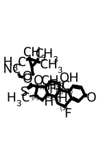 C[C@@H]1C[C@H]2[C@@H]3C[C@H](F)C4=CC(=O)C=C[C@]4(C)[C@@]3(F)[C@@H](O)C[C@]2(C)[C@]1(OC(=O)C1C(C)(C)C1(C)C)C(=S)OCC#N